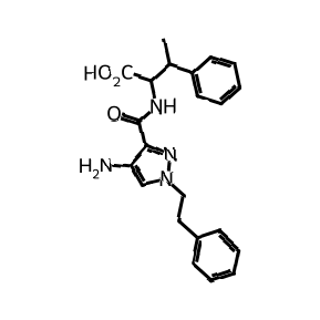 CC(c1ccccc1)C(NC(=O)c1nn(CCc2ccccc2)cc1N)C(=O)O